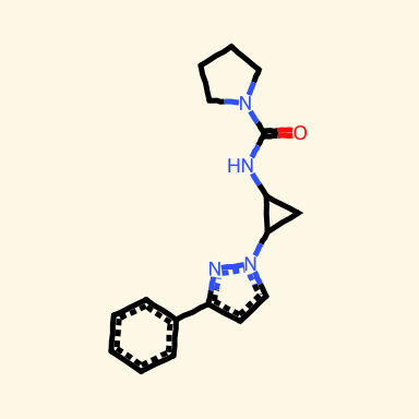 O=C(NC1CC1n1ccc(-c2ccccc2)n1)N1CCCC1